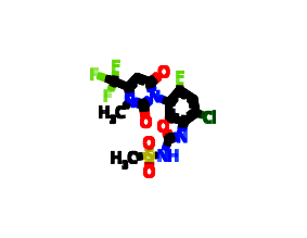 Cn1c(C(F)(F)F)cc(=O)n(-c2c(F)cc(Cl)c3nc(NS(C)(=O)=O)oc23)c1=O